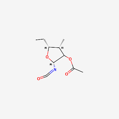 CC[C@H]1O[C@@H](N=C=O)C(OC(C)=O)[C@H]1C